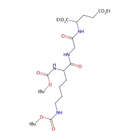 CCOC(=O)CCC(NC(=O)CNC(=O)C(CCCCNC(=O)OC(C)(C)C)NC(=O)OC(C)(C)C)C(=O)OCC